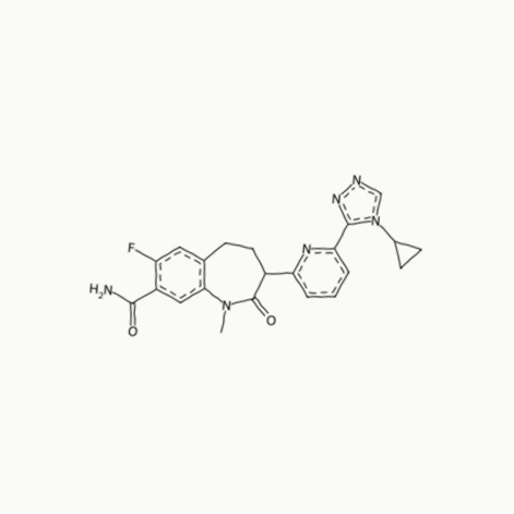 CN1C(=O)C(c2cccc(-c3nncn3C3CC3)n2)CCc2cc(F)c(C(N)=O)cc21